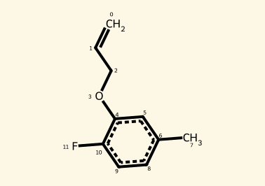 C=CCOc1cc(C)ccc1F